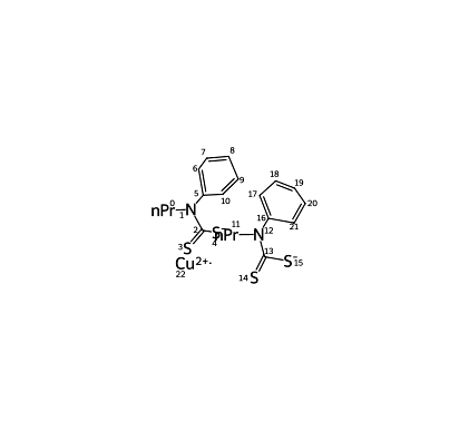 CCCN(C(=S)[S-])c1ccccc1.CCCN(C(=S)[S-])c1ccccc1.[Cu+2]